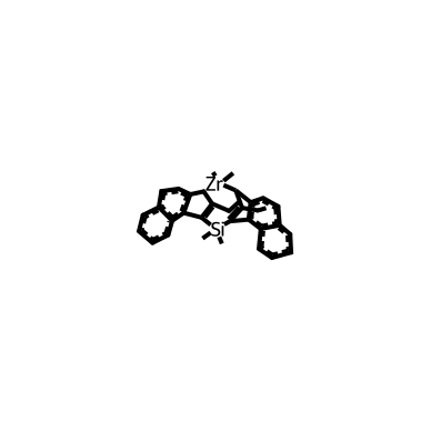 CCC1=C2c3c(ccc4ccccc34)[CH]1[Zr]([CH3])([CH3])[CH]1C(CC)=C(c3c1ccc1ccccc31)[Si]2(C)C